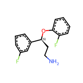 NCC[C@H](Oc1ccccc1F)c1cccc(F)c1